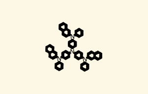 C1=CC2=CC(N(c3ccccc3)c3ccc(N(c4ccc(N(c5ccccc5)c5ccc6ccccc6c5)cc4)c4ccc(N(c5ccccc5)c5ccc6ccccc6c5)cc4)cc3)=CCC2CC1